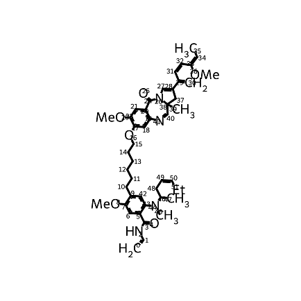 C=CNC(=O)c1cc(OC)c(CCCCCCOc2cc3c(cc2OC)C(=O)N2C=C(C(=C)/C=C\C(=C/C)OC)CC2(C)C=N3)cc1N(C)C(C)C/C=C\CC